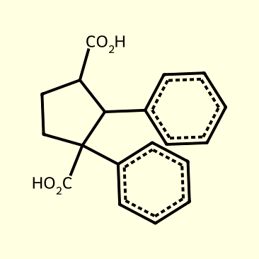 O=C(O)C1CCC(C(=O)O)(c2ccccc2)C1c1ccccc1